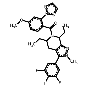 CCC1Cc2c(nn(C)c2-c2cc(F)c(F)c(F)c2)C(CC)N1C(=O)c1ccc(OC)cc1-n1nccn1